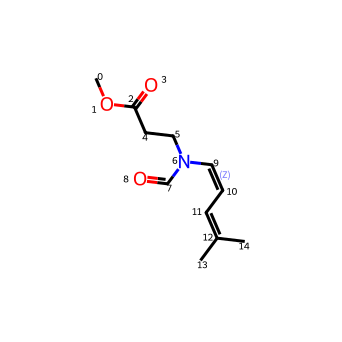 COC(=O)CCN(C=O)/C=C\C=C(C)C